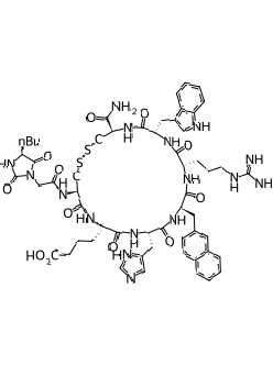 CCCC[C@@H]1NC(=O)N(CC(=O)N[C@H]2CSSC[C@@H](C(N)=O)NC(=O)[C@H](Cc3c[nH]c4ccccc34)NC(=O)[C@H](CCCNC(=N)N)NC(=O)[C@@H](Cc3ccc4ccccc4c3)NC(=O)[C@H](Cc3cnc[nH]3)NC(=O)[C@H](CCCC(=O)O)NC2=O)C1=O